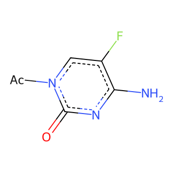 CC(=O)n1cc(F)c(N)nc1=O